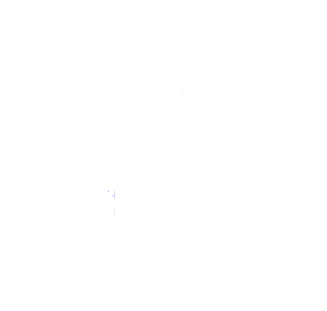 CN1CCc2sc(CCC(=O)O)cc2C1